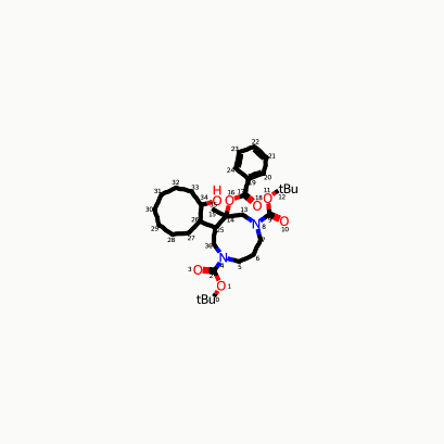 CC(C)(C)OC(=O)N1CCCN(C(=O)OC(C)(C)C)CC(C)(OC(=O)c2ccccc2)C(C2CCCCCCCC2O)C1